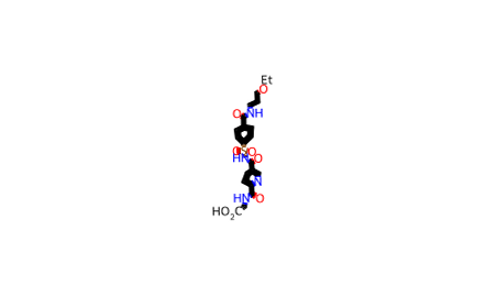 CCOCCCNC(=O)c1ccc(S(=O)(=O)NC(=O)c2ccc(C(=O)NCC(=O)O)nc2)cc1